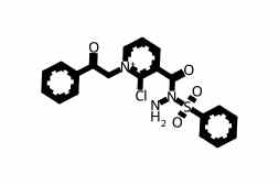 NN(C(=O)c1ccc[n+](CC(=O)c2ccccc2)c1Cl)S(=O)(=O)c1ccccc1